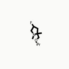 CC(C)OCC1(C)CC(F)CN1C